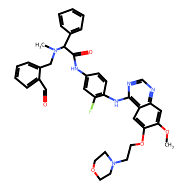 COc1cc2ncnc(Nc3ccc(NC(=O)C(c4ccccc4)N(C)Cc4ccccc4C=O)cc3F)c2cc1OCCN1CCOCC1